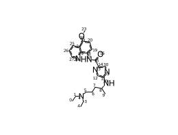 CCN(CC)CCCC(C)Nc1cnc(C(=O)Nc2ccc(OC)c3cccnc23)cn1